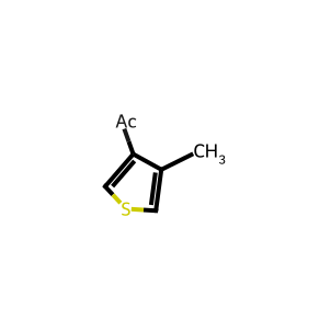 CC(=O)c1cscc1C